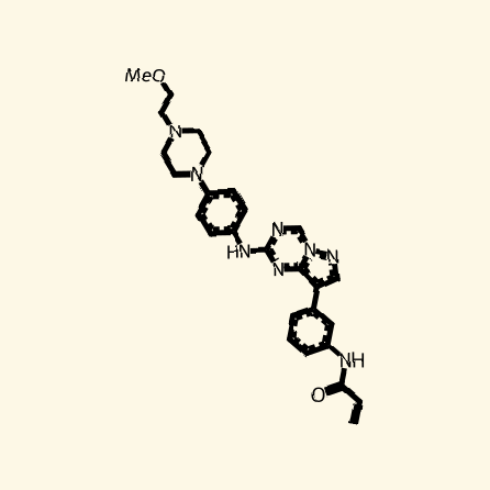 C=CC(=O)Nc1cccc(-c2cnn3cnc(Nc4ccc(N5CCN(CCOC)CC5)cc4)nc23)c1